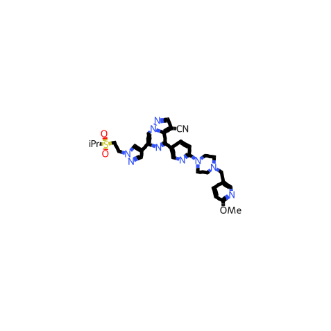 COc1ccc(CN2CCN(c3ccc(-c4nc(-c5cnn(CCS(=O)(=O)C(C)C)c5)cn5ncc(C#N)c45)cn3)CC2)cn1